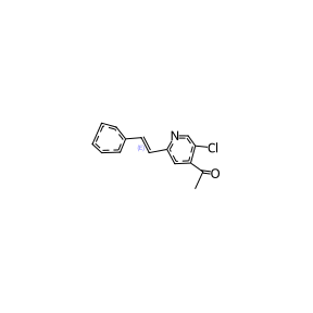 CC(=O)c1cc(/C=C/c2ccccc2)ncc1Cl